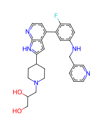 OCC(O)CN1CCC(c2cc3c(-c4cc(NCc5cccnc5)ccc4F)ccnc3[nH]2)CC1